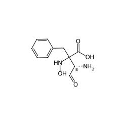 N[C@H](C=O)C(Cc1ccccc1)(NO)C(=O)O